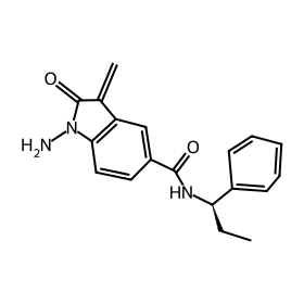 C=C1C(=O)N(N)c2ccc(C(=O)N[C@H](CC)c3ccccc3)cc21